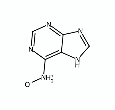 [O-][NH2+]c1ncnc2nc[nH]c12